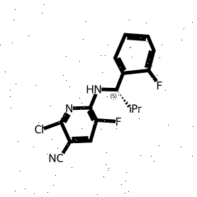 CC(C)[C@H](Nc1nc(Cl)c(C#N)cc1F)c1ccccc1F